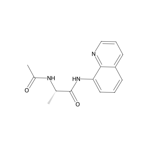 CC(=O)N[C@@H](C)C(=O)Nc1cccc2cccnc12